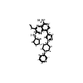 CCc1nc2c(N)ncc(-c3cnn(C4CCN(c5cccnc5)CC4)c3)c2nc1NC1CCCC1